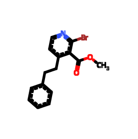 COC(=O)c1c(CCc2ccccc2)ccnc1Br